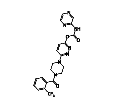 O=C(Nc1cnccn1)Oc1ccc(N2CCN(C(=O)c3ccccc3C(F)(F)F)CC2)nn1